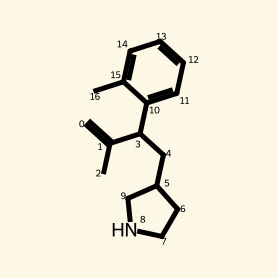 C=C(C)C(CC1CCNC1)c1ccccc1C